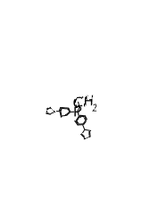 [CH2]CP(c1ccc(C2C=CC=C2)cc1)c1ccc(C2C=CC=C2)cc1